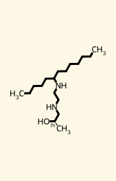 CCCCCCCC(CCCCC)NCCNC[C@H](C)O